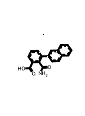 NC(=O)c1c(C(=O)O)cccc1-c1ccc2ccccc2c1